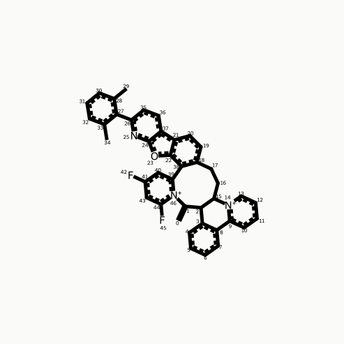 C=C1C2c3ccccc3-c3cccc[n+]3C2CCc2ccc3c(oc4nc(-c5c(C)cccc5C)ccc43)c2-c2cc(F)cc(F)[n+]21